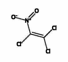 O=[N+]([O-])C(Cl)=C(Cl)Cl